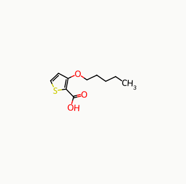 CCCCCOc1ccsc1C(=O)O